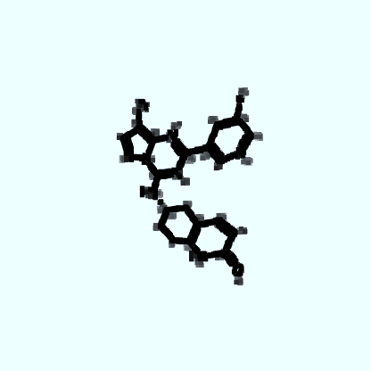 CC(C)c1cnn2c(N[C@H]3CCc4[nH]c(=O)ccc4C3)nc(-c3cncc(F)c3)nc12